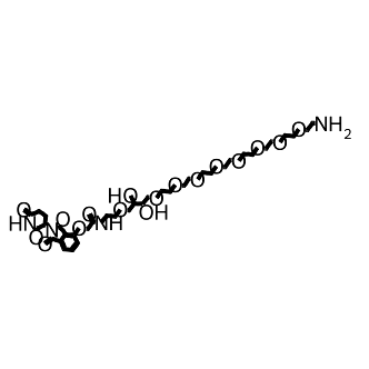 NCCOCCOCCOCCOCCOCCOCCOCCOCC(O)C(O)COCCNC(=O)COc1cccc2c1C(=O)N(C1CCC(=O)NC1=O)C2=O